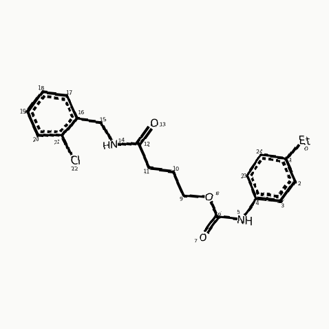 CCc1ccc(NC(=O)OCCCC(=O)NCc2ccccc2Cl)cc1